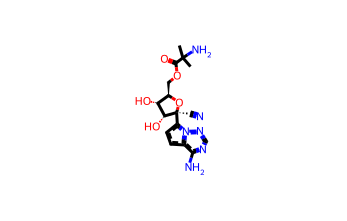 CC(C)(N)C(=O)OC[C@H]1O[C@@](C#N)(c2ccc3c(N)ncnn23)[C@H](O)[C@@H]1O